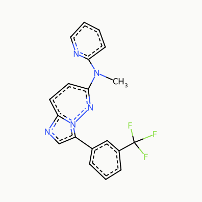 CN(c1ccccn1)c1ccc2ncc(-c3cccc(C(F)(F)F)c3)n2n1